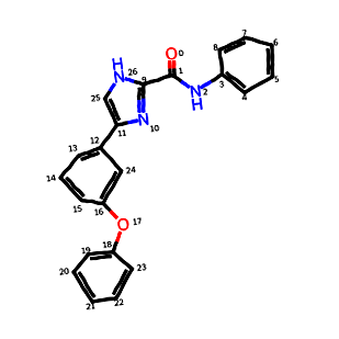 O=C(Nc1ccccc1)c1nc(-c2cccc(Oc3ccccc3)c2)c[nH]1